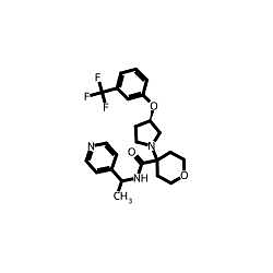 CC(NC(=O)C1(N2CC[C@@H](Oc3cccc(C(F)(F)F)c3)C2)CCOCC1)c1ccncc1